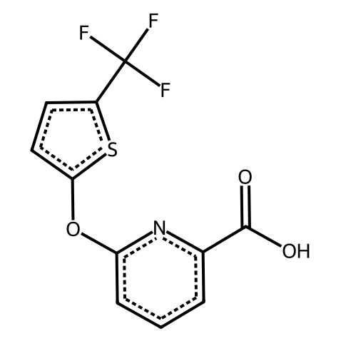 O=C(O)c1cccc(Oc2ccc(C(F)(F)F)s2)n1